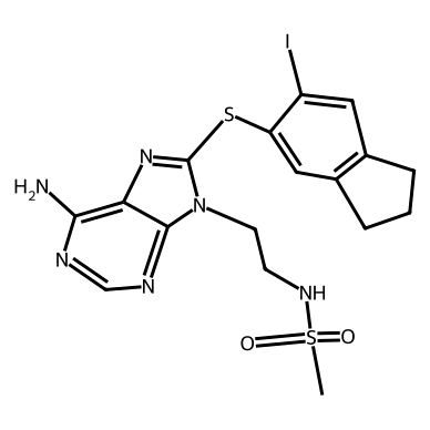 CS(=O)(=O)NCCn1c(Sc2cc3c(cc2I)CCC3)nc2c(N)ncnc21